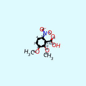 COc1ccc([N+](=O)[O-])c(C(=O)O)c1OC